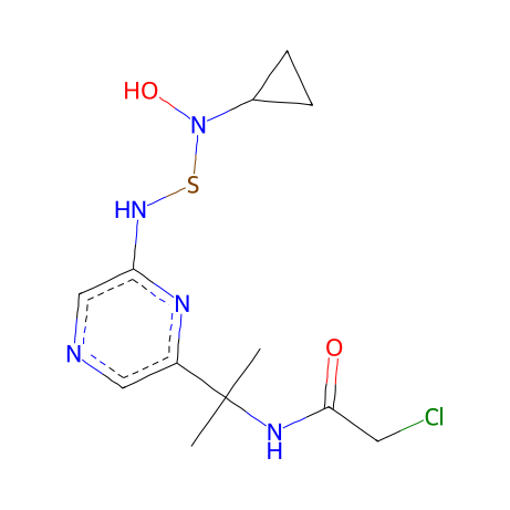 CC(C)(NC(=O)CCl)c1cncc(NSN(O)C2CC2)n1